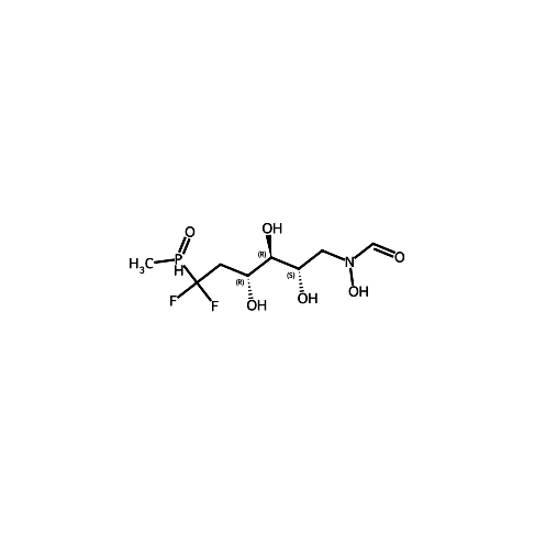 C[PH](=O)C(F)(F)C[C@@H](O)[C@@H](O)[C@@H](O)CN(O)C=O